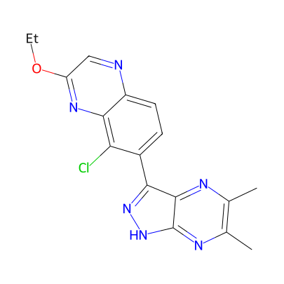 CCOc1cnc2ccc(-c3n[nH]c4nc(C)c(C)nc34)c(Cl)c2n1